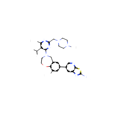 Cc1cc(-c2cnc3sc(N)nc3c2)cc2c1OCCN(c1nc(CN3CCN(C)CC3)nc(C)c1C(C)C)C2